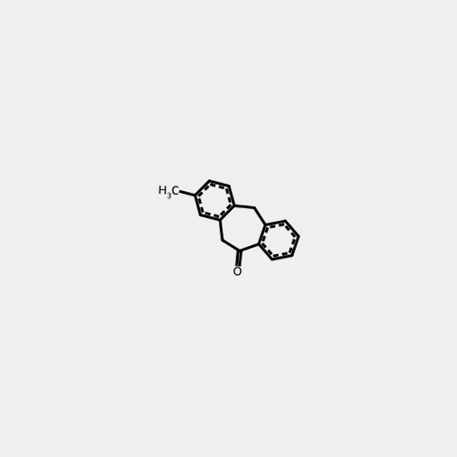 Cc1ccc2c(c1)CC(=O)c1ccccc1C2